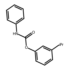 CC(C)c1cccc(OC(=O)Nc2ccccc2)c1